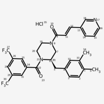 Cc1ccc(C[C@@H]2CN(C(=O)C=Cc3cccnc3)CCN2C(=O)c2cc(C(F)(F)F)cc(C(F)(F)F)c2)cc1C.Cl